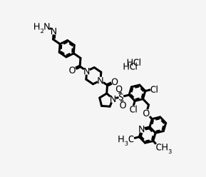 Cc1cc(C)c2cccc(OCc3c(Cl)ccc(S(=O)(=O)N4CCCC4C(=O)N4CCN(C(=O)Cc5ccc(C=NN)cc5)CC4)c3Cl)c2n1.Cl.Cl